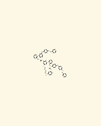 Cc1ccc(N(CCCCN(C(=O)O)c2ccc(C)c(NC(=O)N(Cc3ccccc3)c3ccc(Cc4ccc(NCc5ccccc5)cc4)cc3)c2)C(=O)O)cc1NC(=O)N(Cc1ccccc1)c1ccc(Cc2ccc(NCc3ccccc3)cc2)cc1